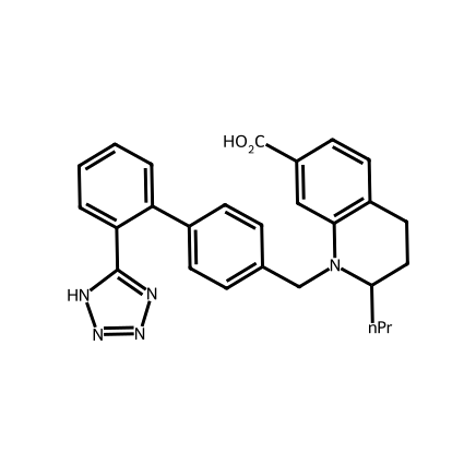 CCCC1CCc2ccc(C(=O)O)cc2N1Cc1ccc(-c2ccccc2-c2nnn[nH]2)cc1